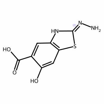 N/N=c1/[nH]c2cc(C(=O)O)c(O)cc2s1